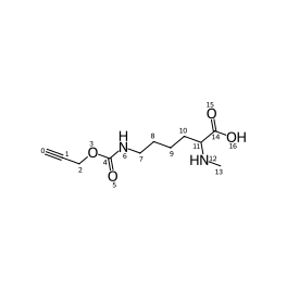 C#CCOC(=O)NCCCCC(NC)C(=O)O